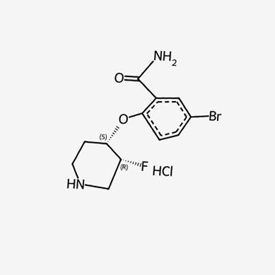 Cl.NC(=O)c1cc(Br)ccc1O[C@H]1CCNC[C@H]1F